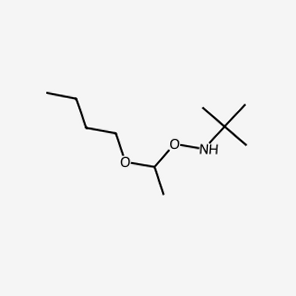 CCCCOC(C)ONC(C)(C)C